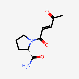 CC(=O)/C=C/C(=O)N1CCC[C@H]1C(N)=O